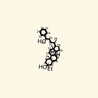 CC[C@]1(O)CC[C@@]2(C)C(=CC[C@@H]3C2CC[C@]2(C)[C@@H]([C@H](C)CCC(O)c4ccccc4)CC[C@@H]32)C1